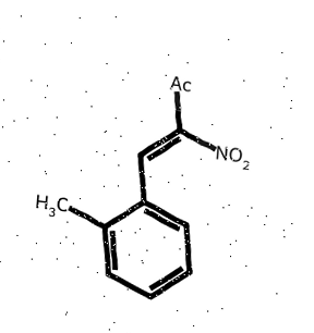 CC(=O)C(=Cc1ccccc1C)[N+](=O)[O-]